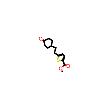 COC(=O)c1ccc(CCC2CCC(=O)CC2)s1